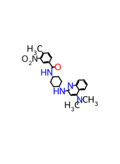 Cc1ccc(C(=O)N[C@H]2CC[C@@H](Nc3cc(N(C)C)c4ccccc4n3)CC2)cc1[N+](=O)[O-]